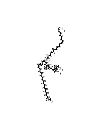 CCCCCC/C=C\CCCCCCCCCC(=O)O[C@H](CO/C=C\CCCCCCCCCCCCCCCC)COP(=O)([O-])OCC[N+](C)(C)C